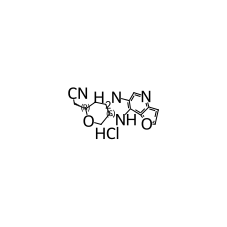 Cl.N#CC[C@H]1CC[C@H](Nc2c(N)cnc3ccoc23)CO1